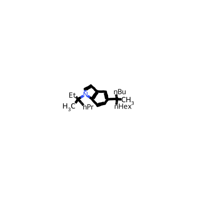 CCCCCCC(C)(CCCC)c1ccc2c(ccn2C(C)(CC)CCC)c1